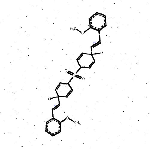 COc1ccccc1/C=C/C1(Cl)C=CC(S(=O)(=O)C2C=CC(Cl)(/C=C/c3ccccc3OC)C=C2)C=C1